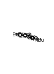 CCCCOc1ccc(OC(=O)C2CCC(C3CCC(CC)CC3)CC2)cc1